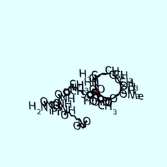 CO[C@H]1/C=C/O[C@@]2(I)Oc3c(C)c(O)c4c(=O)c(c5oc6cc(SCCC[N+](C)(C)Cc7ccc(NC(=O)[C@H](CCCNC(N)=O)NC(=O)[C@@H](NC(=O)CCCCCN8C(=O)C=CC8=O)C(C)C)cc7)cc(O)c6nc-5c4c3C2=O)NC(=O)/C(C)=C\C=C\[C@H](C)C[C@@H](C)C[C@@H](C)[C@H](O)[C@@H]1C